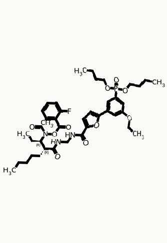 CCCCC[C@@H](C(=O)NCNC(=O)c1ccc(-c2cc(OCC)cc(P(=O)(OCCCC)OCCCC)c2)o1)[C@@H](CC)N(C=O)OC(=O)c1c(C)cccc1F